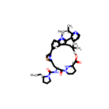 CCn1c(-c2cccnc2[C@H](C)OC)c2c3cc(ccc31)-c1csc(n1)C[C@H](NC(=O)N1CCC[C@@H]1COC)C(=O)N1CCC[C@H](N1)C(=O)OCC(C)(C)C2